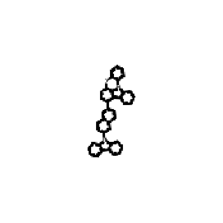 c1ccc2c(c1)Oc1ccc(-c3ccc4cc(-n5c6ccccc6c6ccccc65)ccc4c3)c3c4ccccc4n-2c13